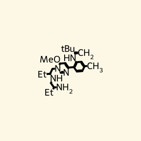 C=C(Nc1cc(C)ccc1C1=CC(OC)N(CC(CC)NCC(N)CC)C=N1)C(C)(C)C